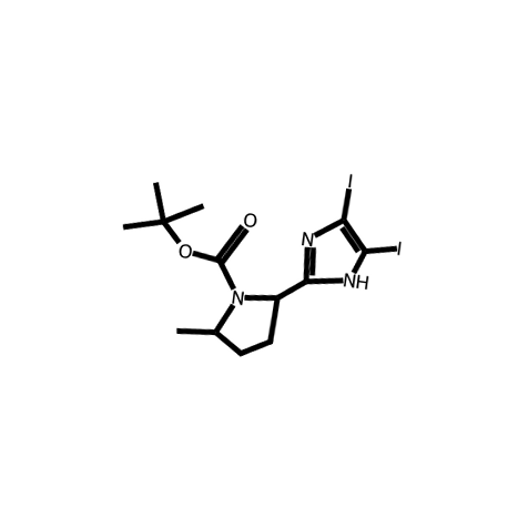 CC1CCC(c2nc(I)c(I)[nH]2)N1C(=O)OC(C)(C)C